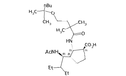 CCCCC(C)(C)OCCC(C)(C)C(=O)N[C@H]1[C@@H]([C@H](NC(C)=O)C(CC)CC)CC[C@@H]1C(=O)O